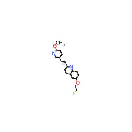 COc1ccc(/C=C/c2ccc3cc(OCCF)ccc3n2)cn1